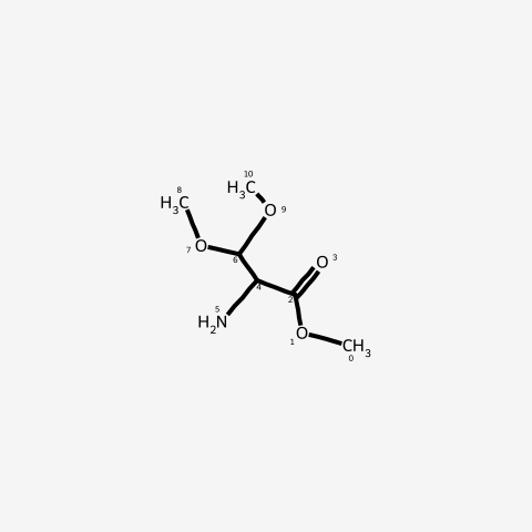 COC(=O)C(N)C(OC)OC